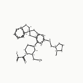 C=C(F)C(=O)N1CCN(c2nc(OCC3CCCN3C)nc3c2CC2(CCc4ccccc42)C3)CC1CC#N